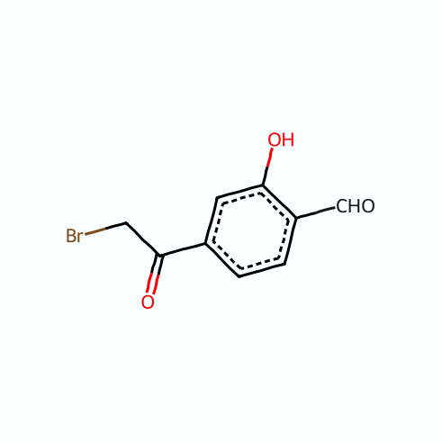 O=Cc1ccc(C(=O)CBr)cc1O